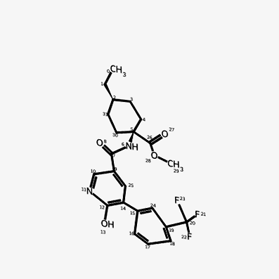 CC[C@H]1CC[C@](NC(=O)c2cnc(O)c(-c3cccc(C(F)(F)F)c3)c2)(C(=O)OC)CC1